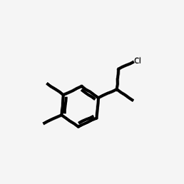 C[C](CCl)c1ccc(C)c(C)c1